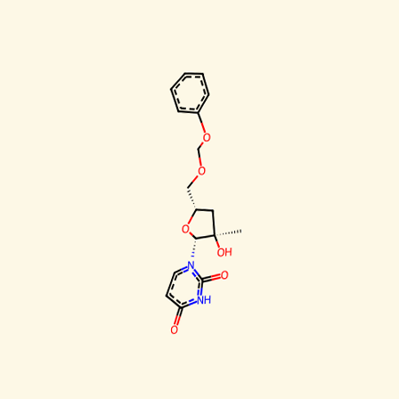 C[C@@]1(O)C[C@@H](COCOc2ccccc2)O[C@H]1n1ccc(=O)[nH]c1=O